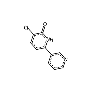 O=c1[nH]c(-c2cccnc2)ccc1Cl